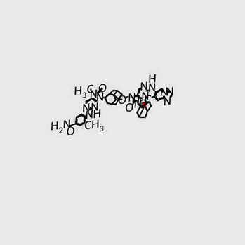 Cc1cc(C(N)=O)ccc1Nc1ncc2c(n1)n(C13CC4CC5(OCn6c(=O)n(C78CC9CC(C7)C(=O)C(C9)C8)c7nc(Nc8cn9ncnc9cc8C)ncc76)CC(C1)C5(C4)C3)c(=O)n2C